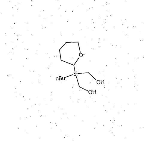 CCCC[Si](CO)(CO)C1CCCCO1